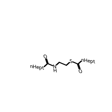 CCCCCCCC(=O)NCCSC(=O)CCCCCCC